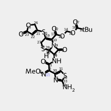 CO/N=C(\C(=O)N[C@@H]1C(=O)N2C(C(=O)OCOC(=O)C(C)(C)C)=C(SC3=CC(=O)OC3)CS[C@@H]12)c1csc(N)n1